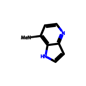 CNc1ccnc2cc[nH]c12